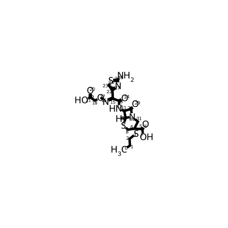 CCCSC1(C(=O)O)CS[C@@H]2C(NC(=O)C(=NOCC(=O)O)c3csc(N)n3)C(=O)N2C1